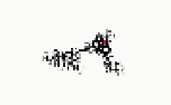 CN1CC[C@]23c4c5ccc(OC(=O)OC(C)(C)C)c4O[C@H]2C(OC(=O)CCC(=O)OC(CC(=O)OC(C)(C)C)C(=O)OC(C)(C)C)=CC[C@@]3(O)[C@H]1C5